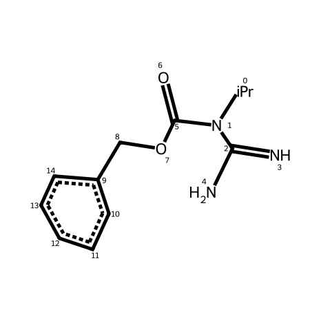 CC(C)N(C(=N)N)C(=O)OCc1ccccc1